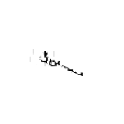 BCc1nc2ccc(C(=O)NCCOCCOCCC(=O)O)cc2nc1CBC